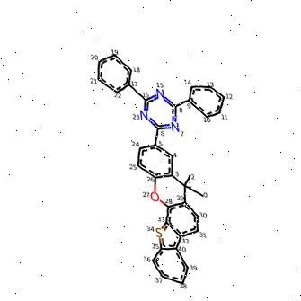 CC1(C)c2cc(-c3nc(-c4ccccc4)nc(-c4ccccc4)n3)ccc2Oc2c1ccc1c2sc2ccccc21